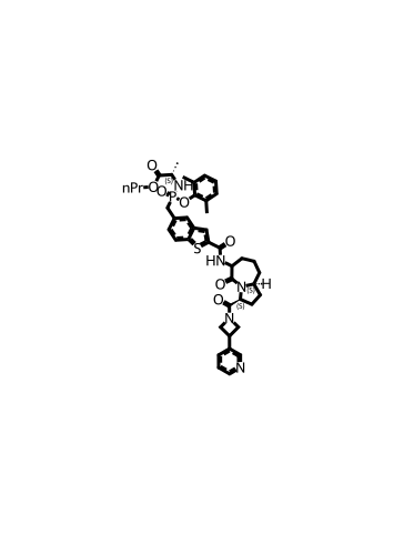 CCCOC(=O)[C@H](C)NP(=O)(Cc1ccc2sc(C(=O)NC3CCC[C@H]4CC[C@@H](C(=O)N5CC(c6cccnc6)C5)N4C3=O)cc2c1)Oc1c(C)cccc1C